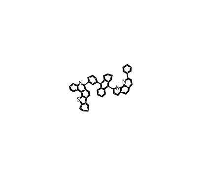 c1ccc(-c2ccc3ccc4ccc(-c5c6ccccc6c(-c6cccc(-c7nc8ccccc8c8c7ccc7c9ccccc9sc78)c6)c6ccccc56)nc4c3n2)cc1